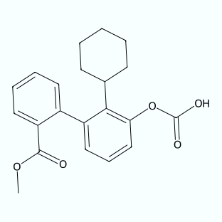 COC(=O)c1ccccc1-c1cccc(OC(=O)O)c1C1CCCCC1